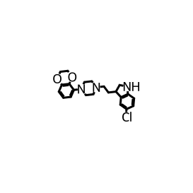 Clc1ccc2c(c1)C(CCN1CCN(c3cccc4c3OCCO4)CC1)CN2